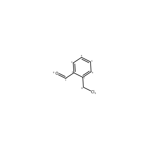 O=[C]c1ccccc1CCl